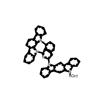 CCCCCCCCn1c2ccccc2c2cc3c(cc21)c1ccccc1n3-c1cccc(-n2c3ccccc3c3ccc4c5ccccc5n(-c5ccccc5)c4c32)n1